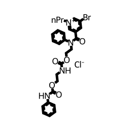 CCC[n+]1cc(Br)cc(C(=O)N(CCOC(=O)NCCOC(=O)Nc2ccccc2)c2ccccc2)c1.[Cl-]